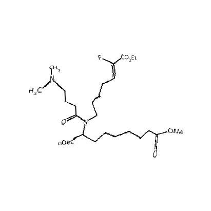 CCCCCCCCCCC(CCCCCCC(=O)OC)N(CCCCC=C(F)C(=O)OCC)C(=O)CCCN(C)C